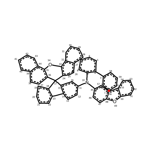 c1ccc(-c2ccccc2N(c2ccc3c(c2)C2(c4ccccc4-3)c3ccc4ccccc4c3Oc3c2ccc2ccccc32)c2ccc3oc4ccccc4c3c2)cc1